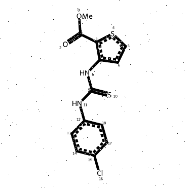 COC(=O)c1sccc1NC(=S)Nc1ccc(Cl)cc1